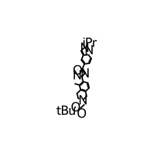 Cc1c(-c2noc(-c3ccc4nn(C(C)C)cc4c3)n2)ccc2c1CCN(CC(=O)OC(C)(C)C)C2